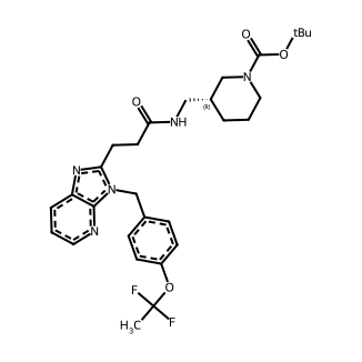 CC(C)(C)OC(=O)N1CCC[C@H](CNC(=O)CCc2nc3cccnc3n2Cc2ccc(OC(C)(F)F)cc2)C1